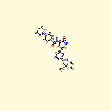 CC(C)(C)CNc1cncc(-c2c[nH]c(=O)c(NC(=O)c3ccc(N4CCCCC4)cc3)c2)n1